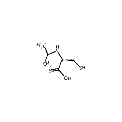 CC(C)N[C@@H](CS)C(O)=S